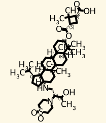 CC(C)[C@@H]1CC[C@]2(NC[C@H]([C@H](C)O)N3CCS(=O)(=O)CC3)CC[C@]3(C)[C@H](CC[C@@H]4[C@@]5(C)CC[C@H](OC(=O)[C@H]6C[C@@H](C(=O)O)C6(C)C)C(C)(C)[C@@H]5CC[C@]43C)[C@@H]12